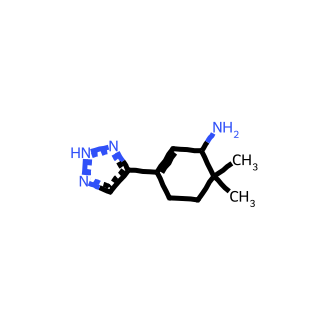 CC1(C)CCC(c2cn[nH]n2)=CC1N